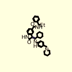 CCC(NC(=O)c1ccc2c(c1)/C(=C(/Nc1ccc(CN3CCCCC3)cc1)C1CCCCC1)C(=O)N2)c1ccccc1